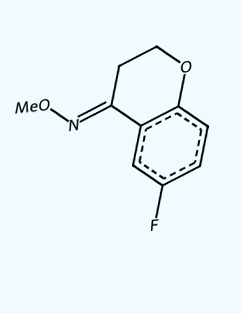 CON=C1CCOc2ccc(F)cc21